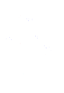 NC(=O)C1=CONC1(c1ccc(-c2cc(F)ccc2OC(F)(F)F)c(N)n1)C(F)(F)F